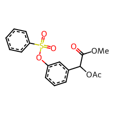 COC(=O)C(OC(C)=O)c1cccc(OS(=O)(=O)c2ccccc2)c1